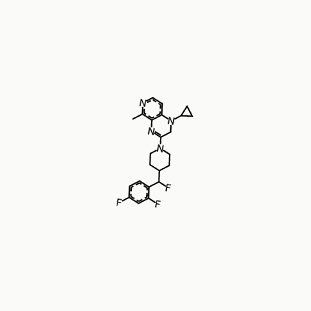 Cc1nccc2c1N=C(N1CCC(C(F)c3ccc(F)cc3F)CC1)CN2C1CC1